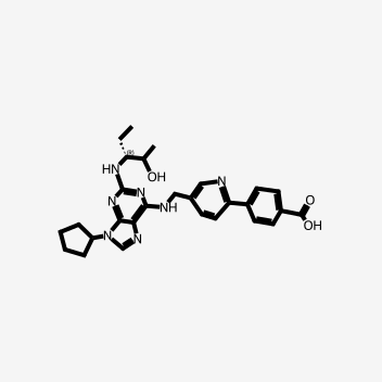 CC[C@@H](Nc1nc(NCc2ccc(-c3ccc(C(=O)O)cc3)nc2)c2ncn(C3CCCC3)c2n1)C(C)O